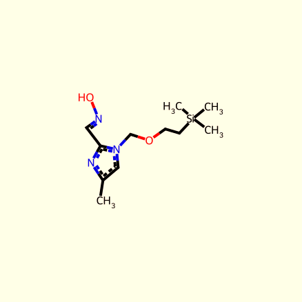 Cc1cn(COCC[Si](C)(C)C)c(/C=N/O)n1